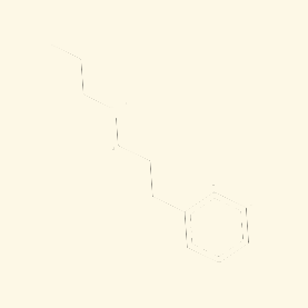 CCCSCCCc1ccccc1